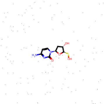 Nc1ccn([C@H]2C[C@H](O)[C@@H](SO)O2)c(=O)n1